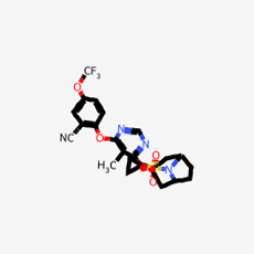 Cc1c(Oc2ccc(OC(F)(F)F)cc2C#N)ncnc1OC1CC2CCC(C1)N2S(=O)(=O)C1CC1